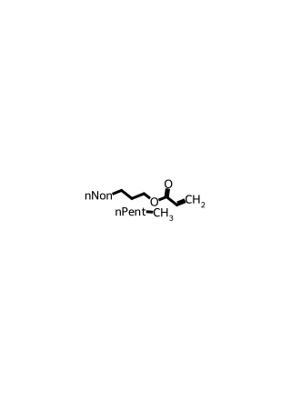 C=CC(=O)OCCCCCCCCCCCC.CCCCCC